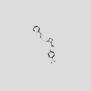 O=C(Oc1ccc([N+](=O)[O-])cc1)C1CCC1NS(=O)(=O)CCc1ccccn1